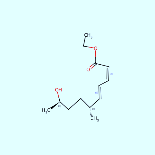 CCOC(=O)/C=C\C=C\[C@H](C)CC[C@@H](C)O